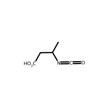 CC(CC(=O)O)N=C=O